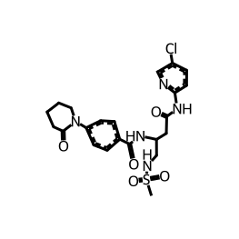 CS(=O)(=O)NCC(CC(=O)Nc1ccc(Cl)cn1)NC(=O)c1ccc(N2CCCCC2=O)cc1